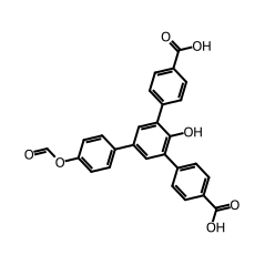 O=COc1ccc(-c2cc(-c3ccc(C(=O)O)cc3)c(O)c(-c3ccc(C(=O)O)cc3)c2)cc1